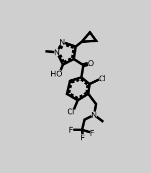 CN(Cc1c(Cl)ccc(C(=O)c2c(C3CC3)nn(C)c2O)c1Cl)CC(F)(F)F